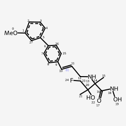 COc1cccc(-c2ccc(/C=C/CNC(C)(C(=O)NO)C(C)(O)CF)cc2)c1